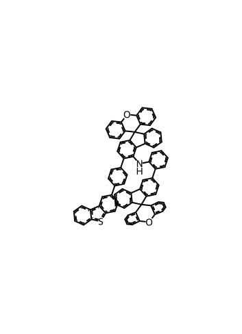 c1ccc(-c2ccc3c(c2)-c2ccccc2C32c3ccccc3Oc3ccccc32)c(Nc2c(-c3ccc(-c4ccc5sc6ccccc6c5c4)cc3)ccc3c2-c2ccccc2C32c3ccccc3Oc3ccccc32)c1